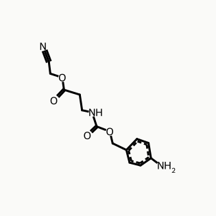 N#CCOC(=O)CCNC(=O)OCc1ccc(N)cc1